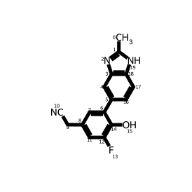 Cc1nc2cc(-c3cc(CC#N)cc(F)c3O)ccc2[nH]1